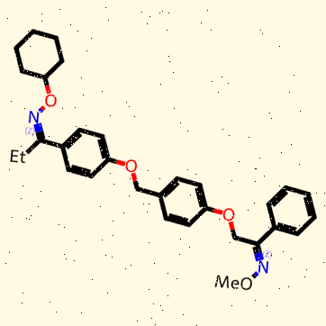 CC/C(=N/OC1CCCCC1)c1ccc(OCc2ccc(OC/C(=N\OC)c3ccccc3)cc2)cc1